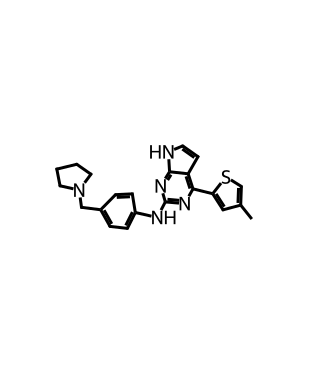 Cc1csc(-c2nc(Nc3ccc(CN4CCCC4)cc3)nc3[nH]ccc23)c1